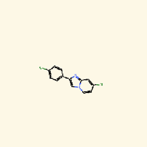 Clc1ccc(-c2cn3ccc(Cl)cc3n2)cc1